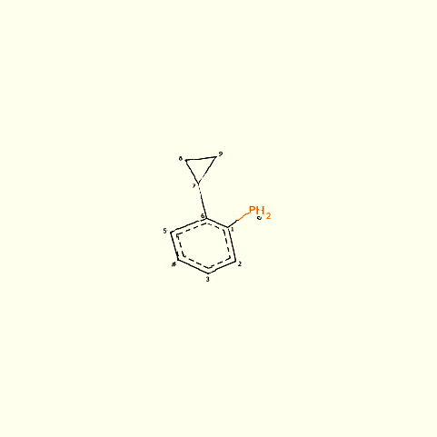 Pc1ccccc1C1CC1